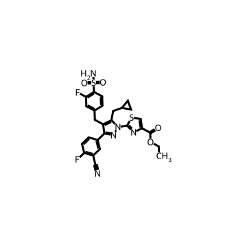 CCOC(=O)c1csc(-n2nc(-c3ccc(F)c(C#N)c3)c(Cc3ccc(S(N)(=O)=O)c(F)c3)c2CC2CC2)n1